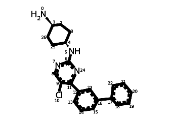 N[C@H]1CC[C@H](Nc2ncc(Cl)c(-c3cccc(-c4ccccc4)c3)n2)CC1